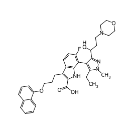 CCc1c(-c2c(F)ccc3c(CCCOc4cccc5ccccc45)c(C(=O)O)[nH]c23)c(C(O)CCN2CCOCC2)nn1C